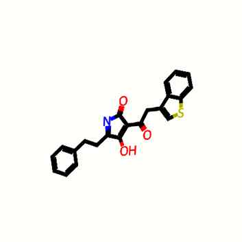 O=C(Cc1csc2ccccc12)C1=C(O)C(CCc2ccccc2)=NC1=O